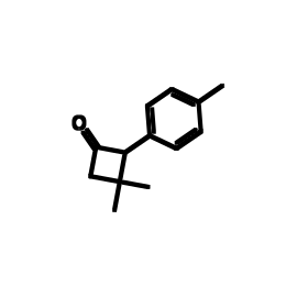 Cc1ccc(C2C(=O)CC2(C)C)cc1